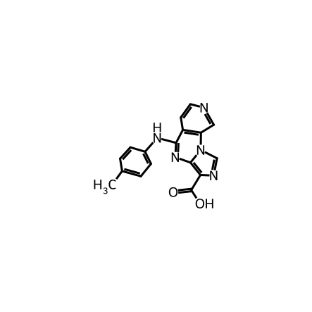 Cc1ccc(Nc2nc3c(C(=O)O)ncn3c3cnccc23)cc1